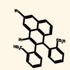 CC(C)C1=C(c2ccccc2C(=O)O)C(c2ccccc2C(=O)O)c2cccc3cc(C(C)C)cc1c23